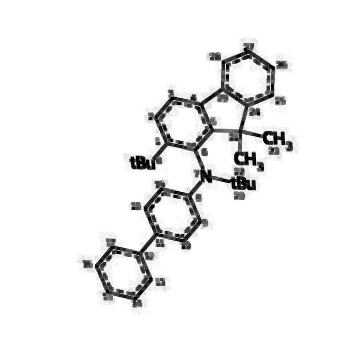 CC(C)(C)c1ccc2c(c1N(c1ccc(-c3ccccc3)cc1)C(C)(C)C)C(C)(C)c1ccccc1-2